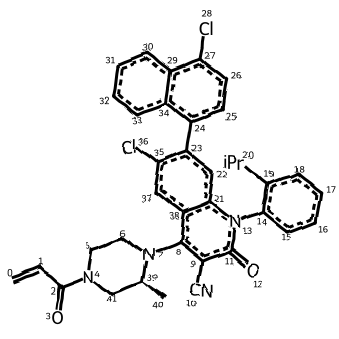 C=CC(=O)N1CCN(c2c(C#N)c(=O)n(-c3ccccc3C(C)C)c3cc(-c4ccc(Cl)c5ccccc45)c(Cl)cc23)[C@@H](C)C1